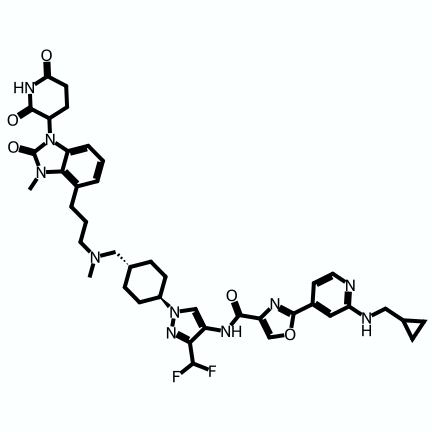 CN(CCCc1cccc2c1n(C)c(=O)n2C1CCC(=O)NC1=O)C[C@H]1CC[C@H](n2cc(NC(=O)c3coc(-c4ccnc(NCC5CC5)c4)n3)c(C(F)F)n2)CC1